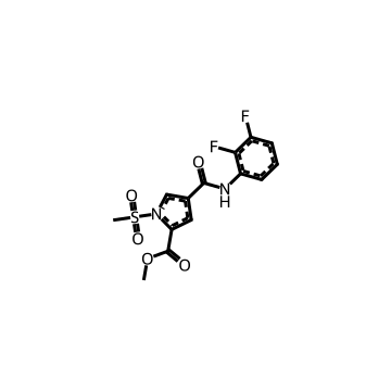 COC(=O)c1cc(C(=O)Nc2cccc(F)c2F)cn1S(C)(=O)=O